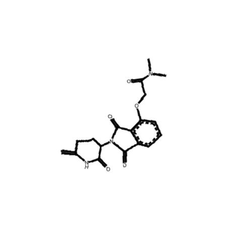 C=C1CCC(N2C(=O)c3cccc(OCC(=O)N(C)C)c3C2=O)C(=O)N1